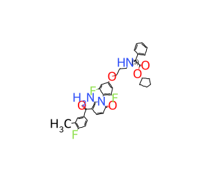 Cc1cc(C(=O)c2ccc(=O)n(-c3c(F)cc(OCCCN[C@H](C(=O)OC4CCCC4)c4ccccc4)cc3F)c2N)ccc1F